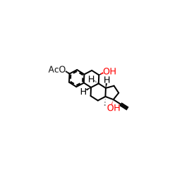 C#C[C@]1(O)CC[C@H]2[C@@H]3[C@H](O)Cc4cc(OC(C)=O)ccc4[C@H]3CC[C@@]21C